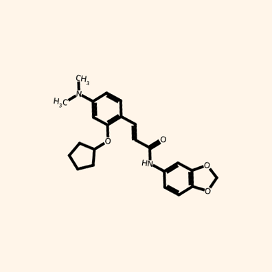 CN(C)c1ccc(/C=C/C(=O)Nc2ccc3c(c2)OCO3)c(OC2CCCC2)c1